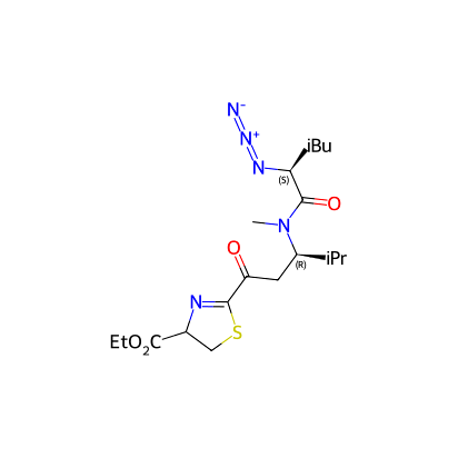 CCOC(=O)C1CSC(C(=O)C[C@H](C(C)C)N(C)C(=O)[C@@H](N=[N+]=[N-])C(C)CC)=N1